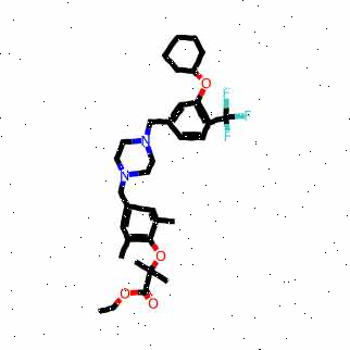 CCOC(=O)C(C)(C)Oc1c(C)cc(CN2CCN(Cc3ccc(C(F)(F)F)c(OC4CCCCC4)c3)CC2)cc1C